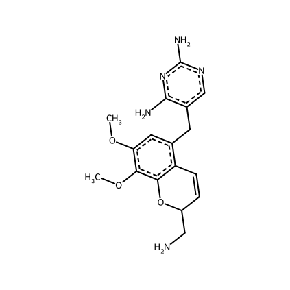 COc1cc(Cc2cnc(N)nc2N)c2c(c1OC)OC(CN)C=C2